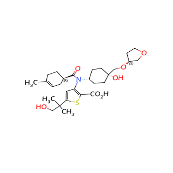 CC1=CC[C@H](C(=O)N(c2cc(C(C)(C)CO)sc2C(=O)O)[C@H]2CC[C@](O)(CO[C@H]3CCOC3)CC2)CC1